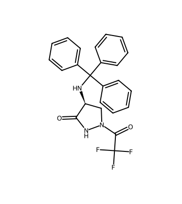 O=C1NN(C(=O)C(F)(F)F)C[C@@H]1NC(c1ccccc1)(c1ccccc1)c1ccccc1